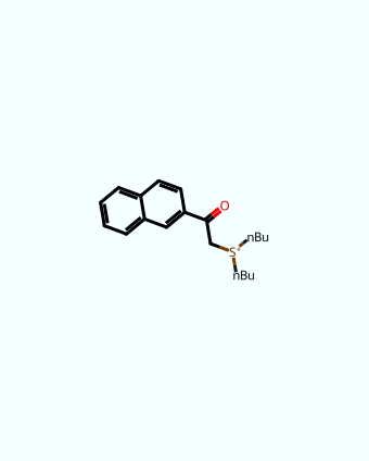 CCCC[S+](CCCC)CC(=O)c1ccc2ccccc2c1